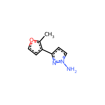 Cc1occc1-c1ccn(N)n1